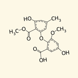 COC(=O)c1c(O)cc(C)cc1Oc1c(OC)cc(O)cc1C(=O)O